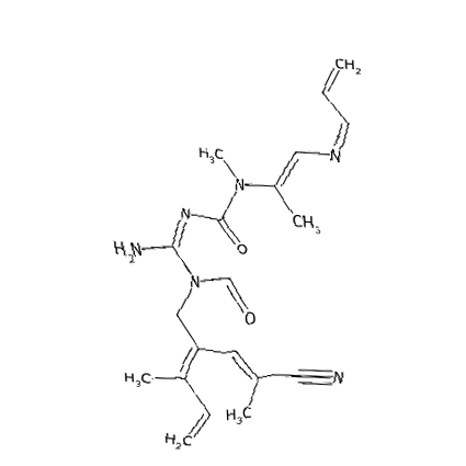 C=C/C=N\C=C(/C)N(C)C(=O)/N=C(/N)N(C=O)CC(/C=C(\C)C#N)=C(\C)C=C